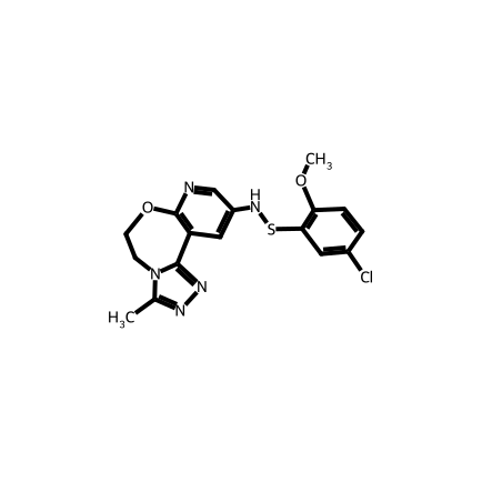 COc1ccc(Cl)cc1SNc1cnc2c(c1)-c1nnc(C)n1CCO2